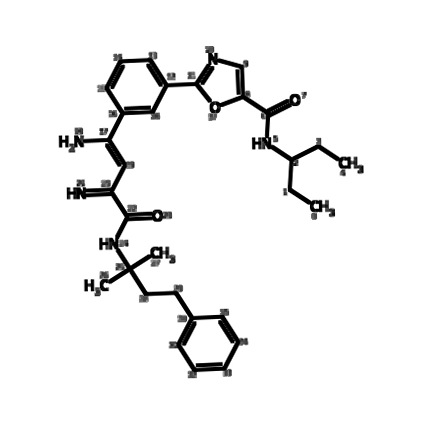 CCC(CC)NC(=O)c1cnc(-c2cccc(/C(N)=C/C(=N)C(=O)NC(C)(C)CCc3ccccc3)c2)o1